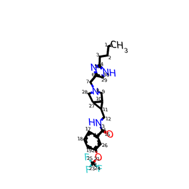 CCCCc1nc(CN2CC3C(CNC(=O)c4cccc(OC(F)(F)F)c4)C3C2)c[nH]1